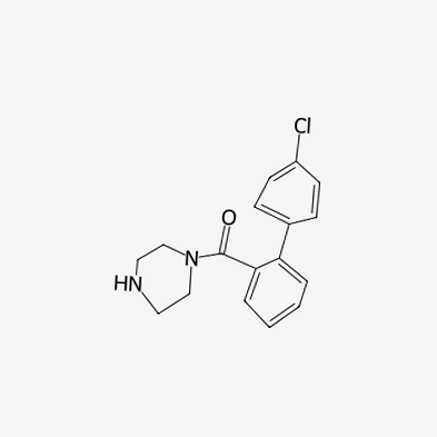 O=C(c1ccccc1-c1ccc(Cl)cc1)N1CCNCC1